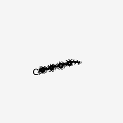 CCCCCc1ccc(CCC2CCC(CCc3ccc(CCc4ccc(Cl)cc4)cc3)CC2)cc1